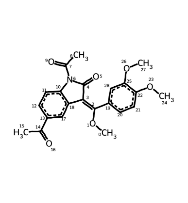 COC(=C1C(=O)N(C(C)=O)c2ccc(C(C)=O)cc21)c1ccc(OC)c(OC)c1